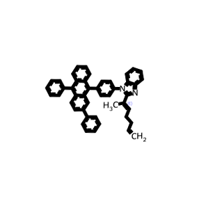 C=CCC/C=C(\C)c1nc2ccccc2n1-c1ccc(-c2c3ccccc3c(-c3ccccc3)c3ccc(-c4ccccc4)cc23)cc1